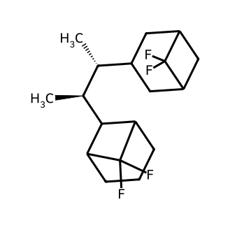 C[C@H](C1CC2CC(C1)C2(F)F)[C@H](C)C1C2CCCC1C2(F)F